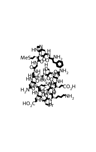 CC[C@H](C)[C@H](NC(=O)[C@H](CO)NC(=O)[C@H](CC(N)=O)NC(=O)[C@H](CCC(=O)O)NC(=O)[C@H](C)NC(=O)[C@H](CCCCN)NC(=O)[C@H](CC(C)C)NC(=O)[C@H](CCC(=O)O)NC(=O)[C@H](CCSC)NC(=O)[C@H](CC(N)=O)NC(=O)CNC(=O)CNC(=O)[C@H](CCSC)NC(=O)[C@H](Cc1c[nH]cn1)NC(=O)[C@@H](N)Cc1ccccc1)C(=O)O